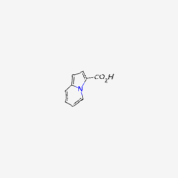 O=C(O)c1ccc2ccccn12